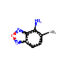 Nc1c([N+](=O)[O-])ccc2nonc12